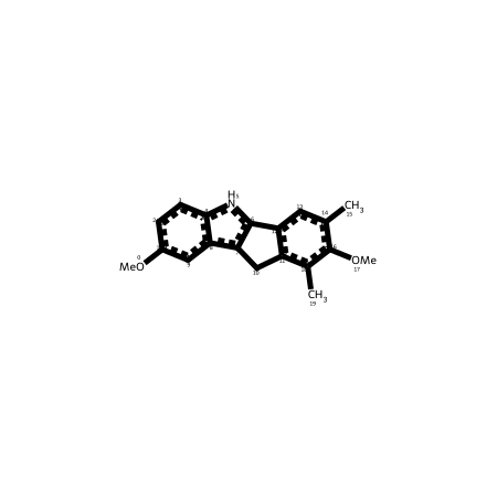 COc1ccc2[nH]c3c(c2c1)Cc1c-3cc(C)c(OC)c1C